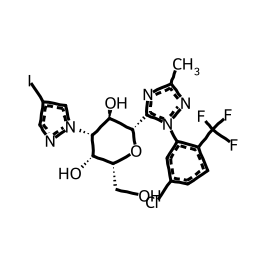 Cc1nc([C@@H]2O[C@H](CO)[C@H](O)[C@H](n3cc(I)cn3)[C@H]2O)n(-c2cc(Cl)ccc2C(F)(F)F)n1